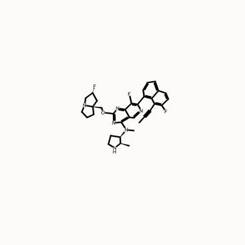 CC#Cc1c(F)ccc2cccc(-c3ncc4c(N(C)[C@@H]5CCN[C@@H]5C)nc(OC[C@@]56CCCN5C[C@H](F)C6)nc4c3F)c12